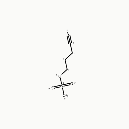 N#CCCCOS(=O)(O)=S